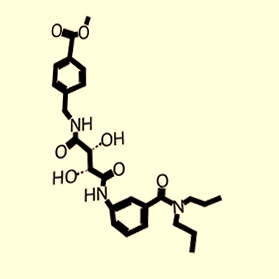 CCCN(CCC)C(=O)c1cccc(NC(=O)[C@H](O)[C@@H](O)C(=O)NCc2ccc(C(=O)OC)cc2)c1